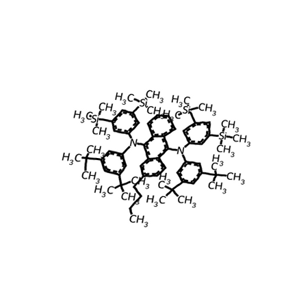 CCCCc1ccc2c(N(c3cc(C(C)(C)C)cc(C(C)(C)C)c3)c3cc([Si](C)(C)C)cc([Si](C)(C)C)c3)c3ccccc3c(N(c3cc(C(C)(C)C)cc(C(C)(C)C)c3)c3cc([Si](C)(C)C)cc([Si](C)(C)C)c3)c2c1